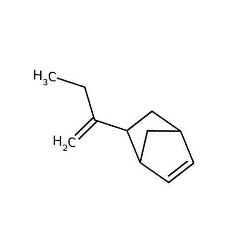 C=C(CC)C1CC2C=CC1C2